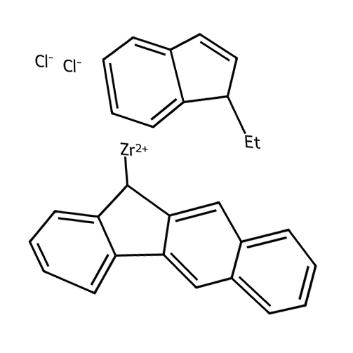 CCC1C=Cc2ccccc21.[Cl-].[Cl-].[Zr+2][CH]1c2ccccc2-c2cc3ccccc3cc21